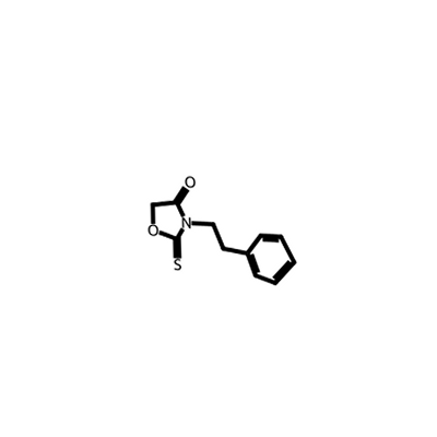 O=C1COC(=S)N1CCc1ccccc1